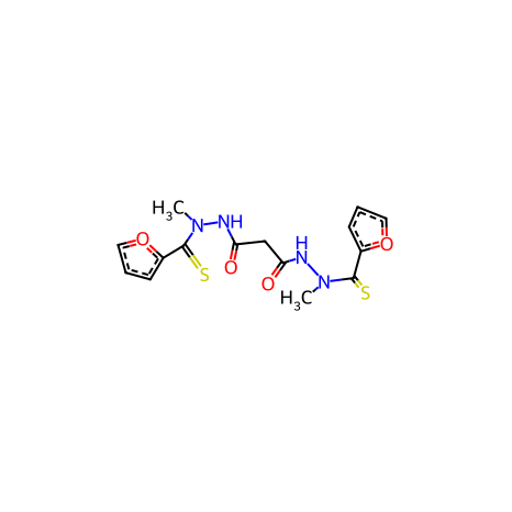 CN(NC(=O)CC(=O)NN(C)C(=S)c1ccco1)C(=S)c1ccco1